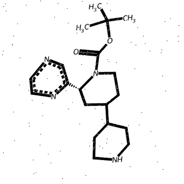 CC(C)(C)OC(=O)N1CCC(C2CCNCC2)C[C@@H]1c1cnccn1